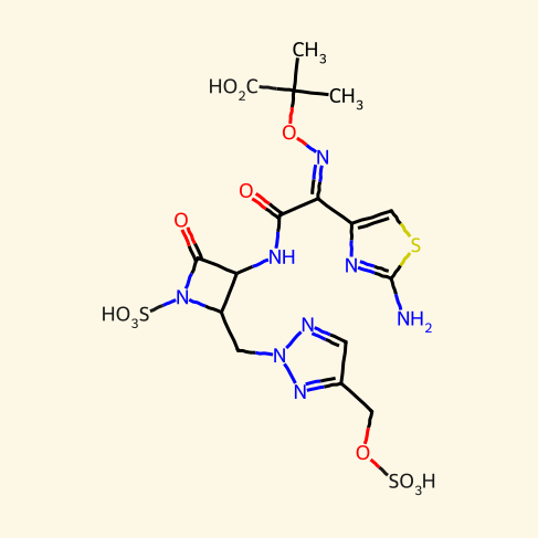 CC(C)(O/N=C(\C(=O)NC1C(=O)N(S(=O)(=O)O)C1Cn1ncc(COS(=O)(=O)O)n1)c1csc(N)n1)C(=O)O